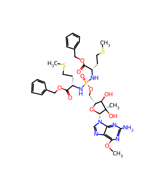 COc1nc(N)nc2c1ncn2[C@@H]1O[C@H](COP(=O)(N[C@@H](CCSC)C(=O)OCc2ccccc2)N[C@@H](CCSC)C(=O)OCc2ccccc2)[C@@H](O)[C@@]1(C)O